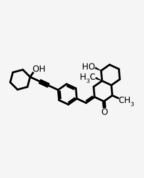 CC1C(=O)/C(=C/c2ccc(C#CC3(O)CCCCC3)cc2)C[C@@]2(C)C1CCC[C@@H]2O